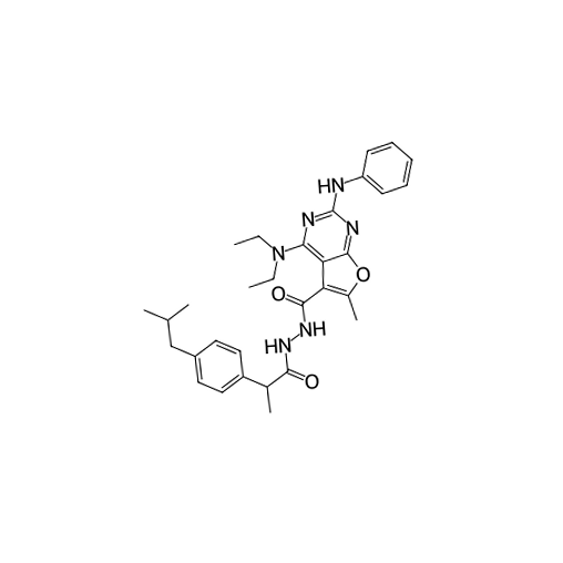 CCN(CC)c1nc(Nc2ccccc2)nc2oc(C)c(C(=O)NNC(=O)C(C)c3ccc(CC(C)C)cc3)c12